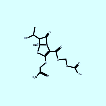 CC(O)C1C(=O)N2C(C(=O)OCOC(=O)C(C)(C)C)=C(SCC(N)=O)S[C@H]12